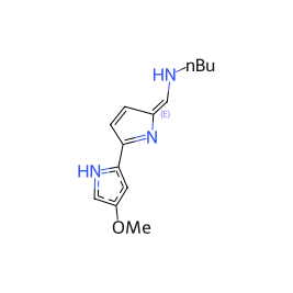 CCCCN/C=C1\C=CC(c2cc(OC)c[nH]2)=N1